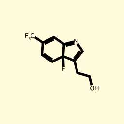 OCCC1=CN=C2C=C(C(F)(F)F)C=CC12F